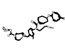 COCCN(c1ccc(CN2CCN(C(=O)OC(C)(C)C)CC2)c(C)c1)C(=O)[C@H]1CC[C@H](Oc2ccc(F)cn2)CC1